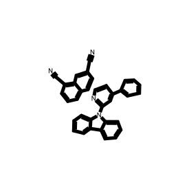 N#Cc1ccc2cccc(C#N)c2c1.c1ccc(-c2ccnc(-n3c4ccccc4c4ccccc43)c2)cc1